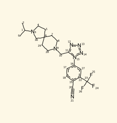 CC(C)N1CCC2(CCN(Cc3nnnn3-c3ccc(C#N)c(C(F)(F)F)c3)CC2)C1